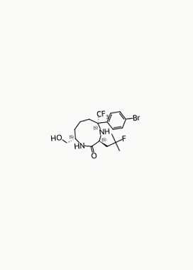 CC(C)(F)C[C@@H]1N[C@@](c2ccc(Br)cc2)(C(F)(F)F)CCC[C@@H](CO)NC1=O